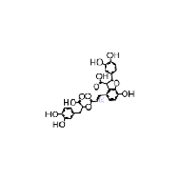 O=C(/C=C/c1ccc(O)c2c1C(C(=O)O)C(c1ccc(O)c(O)c1)O2)OC(Cc1ccc(O)c(O)c1)C(=O)O